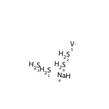 S.S.S.S.[NaH].[V]